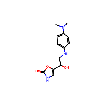 CN(C)c1ccc(NCC(O)c2c[nH]c(=O)o2)cc1